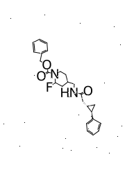 O=C(C[C@@H]1C[C@H]1c1ccccc1)NCC1CCN(C(=O)OCc2ccccc2)C(F)C1